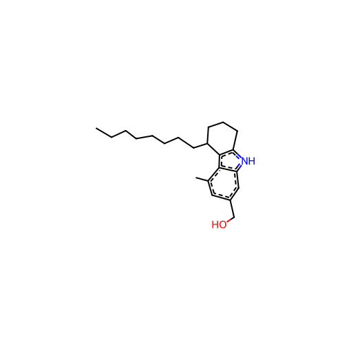 CCCCCCCCC1CCCc2[nH]c3cc(CO)cc(C)c3c21